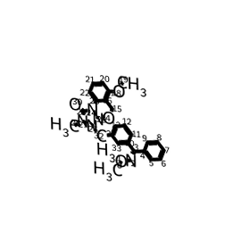 CON=C(c1ccccc1)c1ccc(OCc2c(OC)cccc2-n2nnn(C)c2=O)c(C)c1